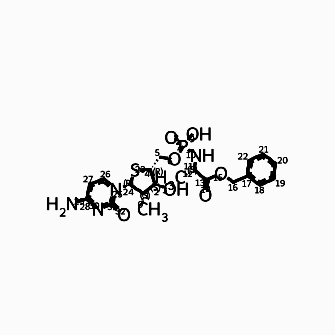 C[C@H]1[C@H](O)[C@@H](COP(=O)(O)N[C@@H](C)C(=O)OCc2ccccc2)S[C@H]1n1ccc(N)nc1=O